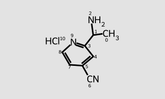 CC(N)c1cc(C#N)ccn1.Cl